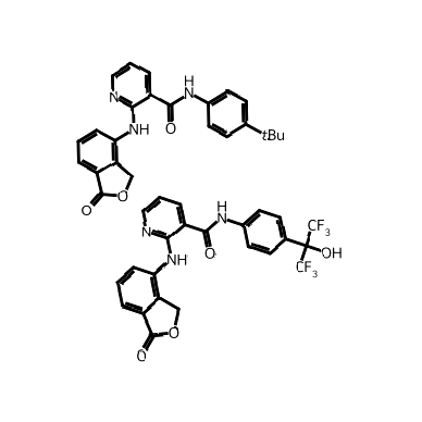 CC(C)(C)c1ccc(NC(=O)c2cccnc2Nc2cccc3c2COC3=O)cc1.O=C(Nc1ccc(C(O)(C(F)(F)F)C(F)(F)F)cc1)c1cccnc1Nc1cccc2c1COC2=O